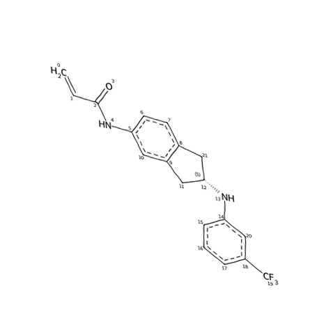 C=CC(=O)Nc1ccc2c(c1)C[C@@H](Nc1cccc(C(F)(F)F)c1)C2